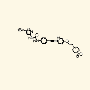 CC(C)(C)c1cc(NC(=O)Nc2ccc(C#Cc3ccc(OCCN4CCS(=O)(=O)CC4)cn3)cc2)no1